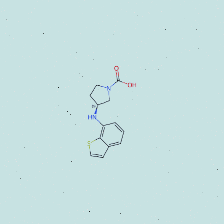 O=C(O)N1CC[C@H](Nc2cccc3ccsc23)C1